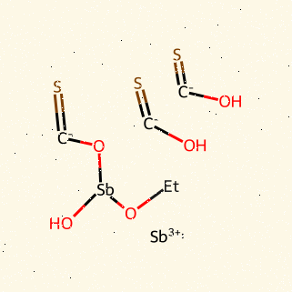 CC[O][Sb]([OH])[O][C-]=S.O[C-]=S.O[C-]=S.[Sb+3]